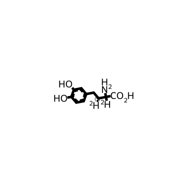 [2H][C@@H](Cc1ccc(O)c(O)c1)C([2H])(N)C(=O)O